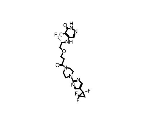 C[C@@H](COCCC(=O)N1CCN(c2ncc([C@@]3(F)CC3(F)F)cn2)CC1)Nc1cn[nH]c(=O)c1C(F)(F)F